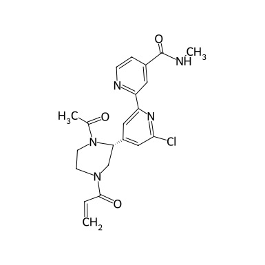 C=CC(=O)N1CCN(C(C)=O)[C@H](c2cc(Cl)nc(-c3cc(C(=O)NC)ccn3)c2)C1